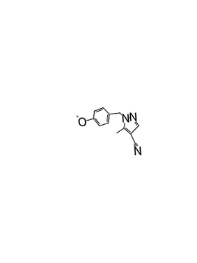 COc1ccc(Cn2ncc(C#N)c2C)cc1